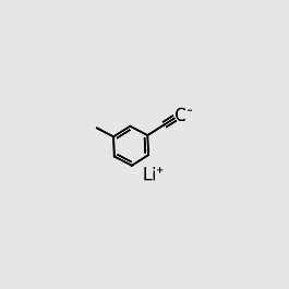 [C-]#Cc1cccc(C)c1.[Li+]